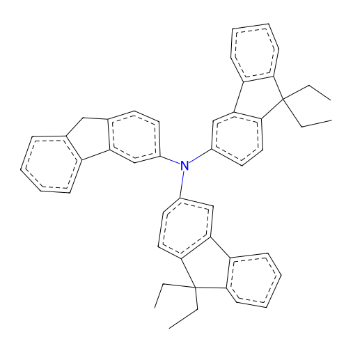 CCC1(CC)c2ccccc2-c2cc(N(c3ccc4c(c3)-c3ccccc3C4)c3ccc4c(c3)-c3ccccc3C4(CC)CC)ccc21